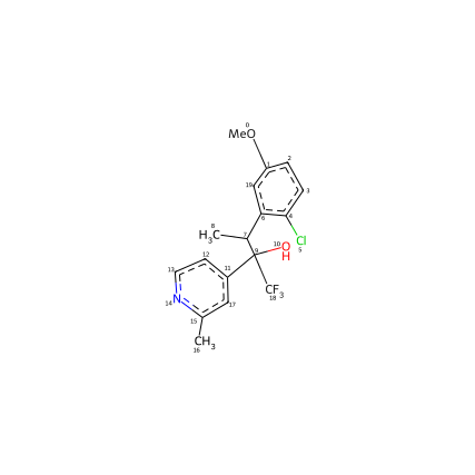 COc1ccc(Cl)c(C(C)C(O)(c2ccnc(C)c2)C(F)(F)F)c1